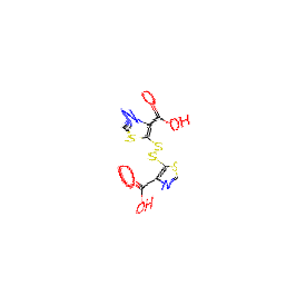 O=C(O)c1ncsc1SSc1scnc1C(=O)O